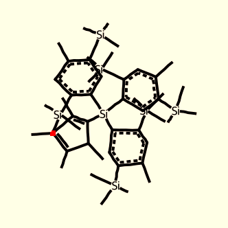 CC1=C(C)C(C)C([Si](c2cc([Si](C)(C)C)c(C)cc2[Si](C)(C)C)(c2cc([Si](C)(C)C)c(C)cc2[Si](C)(C)C)c2cc([Si](C)(C)C)c(C)cc2[Si](C)(C)C)=C1C